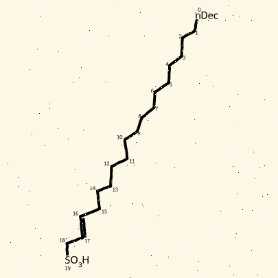 CCCCCCCCCCCCCCCCCCCCCCCCCC=CCS(=O)(=O)O